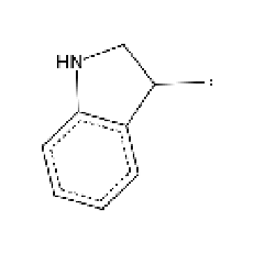 [CH]C1CNc2ccccc21